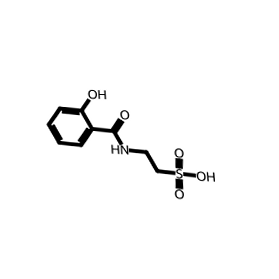 O=C(NCCS(=O)(=O)O)c1ccccc1O